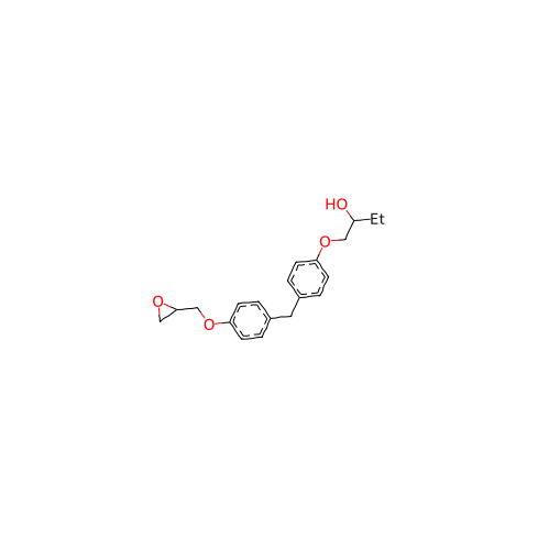 CCC(O)COc1ccc(Cc2ccc(OCC3CO3)cc2)cc1